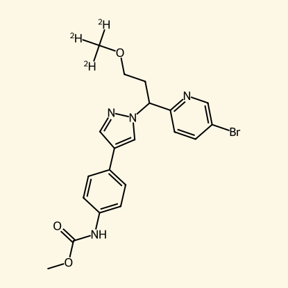 [2H]C([2H])([2H])OCCC(c1ccc(Br)cn1)n1cc(-c2ccc(NC(=O)OC)cc2)cn1